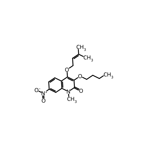 CCCCOc1c(OCC=C(C)C)c2ccc([N+](=O)[O-])cc2n(C)c1=O